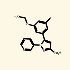 O=C(O)c1cc(-c2cc(F)cc(OCC(F)(F)F)c2)n(-c2cccnc2)n1